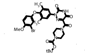 COc1ccc(Oc2c(C)cc(-n3nc(C(=O)N4CCN(C(=O)OC(C)(C)C)CC4)c(=O)[nH]c3=O)cc2C)cc1Br